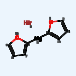 Br.c1co[c]([Mg][c]2ccco2)c1